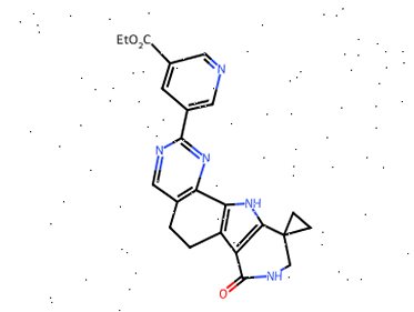 CCOC(=O)c1cncc(-c2ncc3c(n2)-c2[nH]c4c(c2CC3)C(=O)NCC42CC2)c1